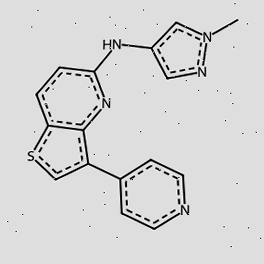 Cn1cc(Nc2ccc3scc(-c4ccncc4)c3n2)cn1